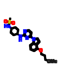 COCCCOc1cccc2c1ccn2-c1ccnc(N[C@H]2CC[C@H](NS(C)(=O)=O)CC2)n1